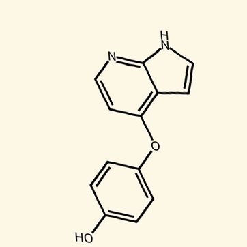 Oc1ccc(Oc2ccnc3[nH]ccc23)cc1